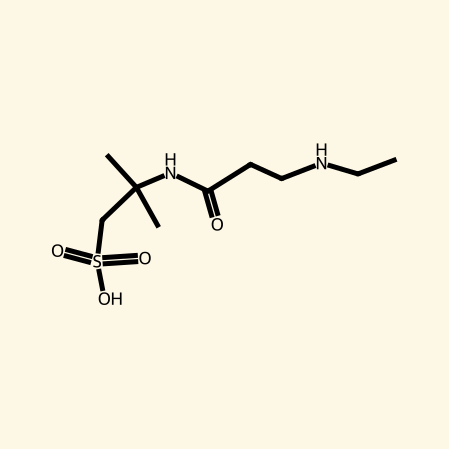 CCNCCC(=O)NC(C)(C)CS(=O)(=O)O